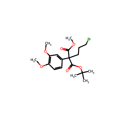 COC(=O)C(CCCBr)(C(=O)OC(C)(C)C)c1ccc(OC)c(OC)c1